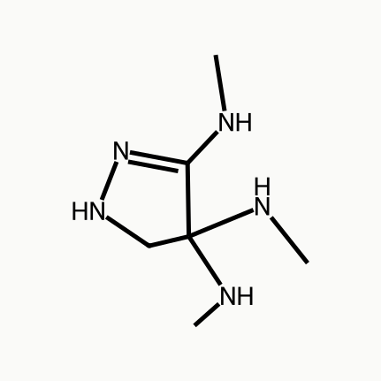 CNC1=NNCC1(NC)NC